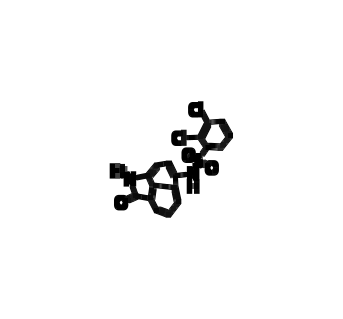 CCN1C(=O)c2cccc3c(NS(=O)(=O)c4cccc(Cl)c4Cl)ccc1c23